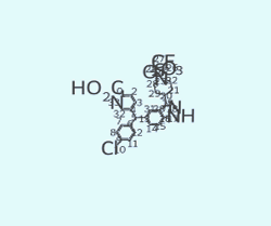 O=C(O)c1ccc(C(c2ccc(Cl)cc2)c2ccc3[nH]nc(C4CCN(S(=O)(=O)C(F)(F)F)CC4)c3c2)cn1